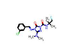 CN(C)c1nn(C(=O)NC(C)(C)CF)c(=O)n1/N=C/c1cccc(Cl)c1